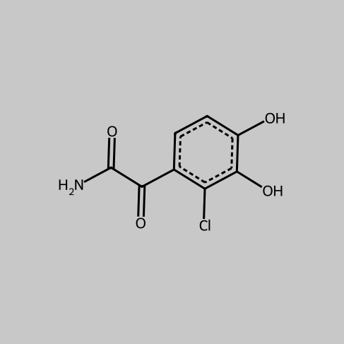 NC(=O)C(=O)c1ccc(O)c(O)c1Cl